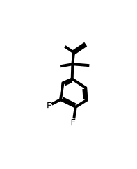 C=C(C)C(C)(C)c1ccc(F)c(F)c1